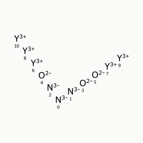 [N-3].[N-3].[N-3].[O-2].[O-2].[O-2].[Y+3].[Y+3].[Y+3].[Y+3].[Y+3]